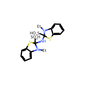 CCN1c2ccccc2SC1(NC1(S(=O)(=O)O)Sc2ccccc2N1CC)S(=O)(=O)O